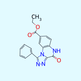 CCOC(=O)c1ccc2[nH]c(=O)c3nnc(-c4ccccc4)n3c2c1